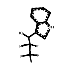 OC(c1c[nH]c2ccccc12)C(F)(F)C(F)(F)F